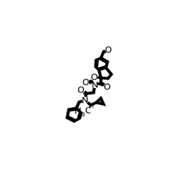 C[C@@H](C1CC1)N(Cc1ccccc1)C(=O)CN1C(=O)OC2(CCc3cc(C=O)ccc32)C1=O